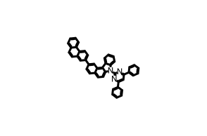 c1ccc(-c2cc(-c3ccccc3)nc(-n3c4ccccc4c4c5cc(-c6ccc7c(ccc8ccccc87)c6)ccc5ccc43)n2)cc1